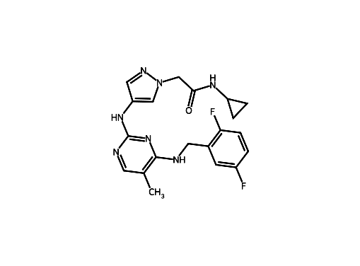 Cc1cnc(Nc2cnn(CC(=O)NC3CC3)c2)nc1NCc1cc(F)ccc1F